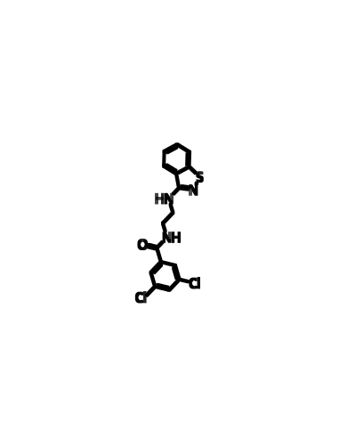 O=C(NCCNc1nsc2ccccc12)c1cc(Cl)cc(Cl)c1